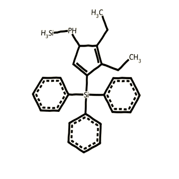 CCC1=C(CC)C(P[SiH3])C=C1[Si](c1ccccc1)(c1ccccc1)c1ccccc1